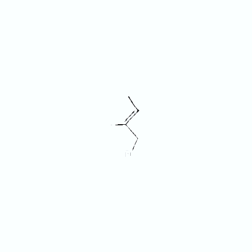 CC=C(F)CBr